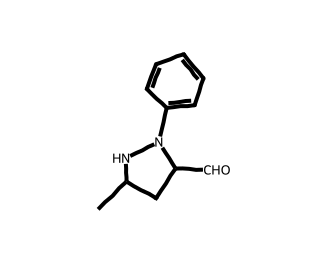 CC1CC(C=O)N(c2ccccc2)N1